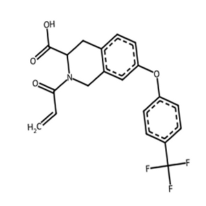 C=CC(=O)N1Cc2cc(Oc3ccc(C(F)(F)F)cc3)ccc2CC1C(=O)O